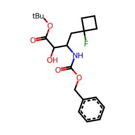 CC(C)(C)OC(=O)C(O)C(CC1(F)CCC1)NC(=O)OCc1ccccc1